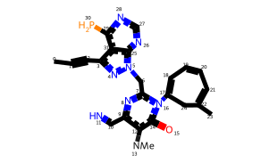 CC#Cc1nn(Cc2nc(C=N)c(NC)c(=O)n2C2=CC=CC=C(C)C2)c2ncnc(P)c12